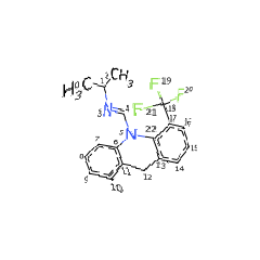 CC(C)N=CN1c2ccccc2Cc2cccc(C(F)(F)F)c21